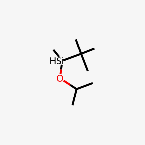 CC(C)O[SiH](C)C(C)(C)C